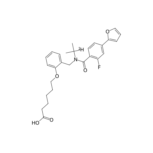 [2H]C(C)(C)N(Cc1ccccc1OCCCCCC(=O)O)C(=O)c1ccc(-c2ccco2)cc1F